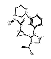 C=C(O)c1cnn(-c2cccc(C3CCCCC3)c2)c1C1CC1C(=C)N=N